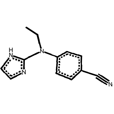 CCN(c1ccc(C#N)cc1)c1ncc[nH]1